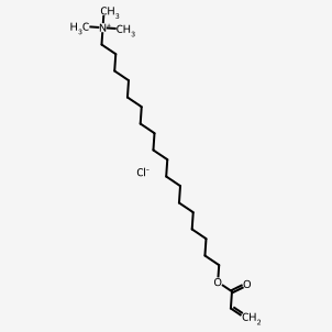 C=CC(=O)OCCCCCCCCCCCCCCCCCC[N+](C)(C)C.[Cl-]